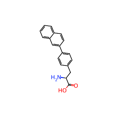 N[C@@H](Cc1ccc(-c2ccc3ccccc3c2)cc1)C(=O)O